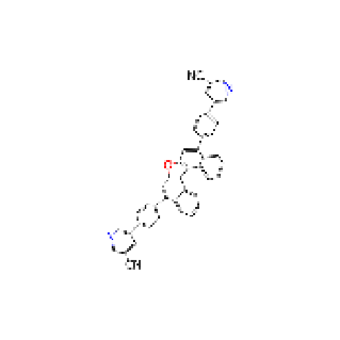 N#Cc1cncc(-c2ccc(-c3cc4oc5cc(-c6ccc(-c7cncc(C#N)c7)cc6)c6ccccc6c5c4c4ccccc34)cc2)c1